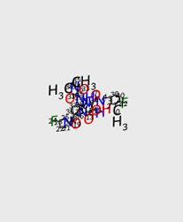 Cc1cc(CNC(=O)c2nc3n(c(=O)c2O)CC2(C(=O)N4CC[C@H](F)C4)CCC3(NC(=O)C(=O)N(C)C)CC2)ccc1F